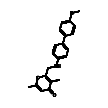 COc1ccc(-c2ccc(NCc3oc(C)cc(=O)c3C)cc2)cc1